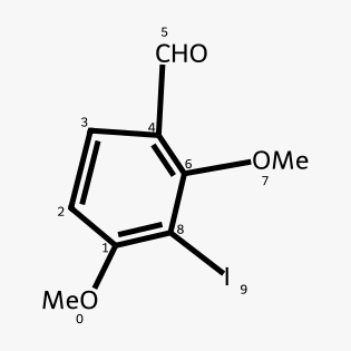 COc1ccc(C=O)c(OC)c1I